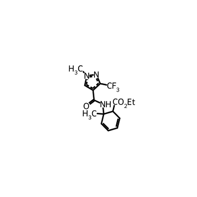 CCOC(=O)C1C=CC=CC1(C)NC(=O)c1cn(C)nc1C(F)(F)F